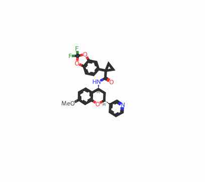 COc1ccc2c(c1)O[C@@H](c1cccnc1)C[C@H]2NC(=O)C1(c2ccc3c(c2)OC(F)(F)O3)CC1